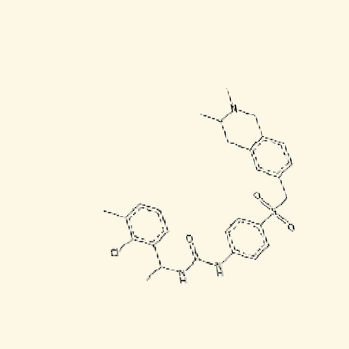 Cc1cccc(C(C)NC(=O)Nc2ccc(S(=O)(=O)Cc3ccc4c(c3)CC(C)N(C)C4)cc2)c1Cl